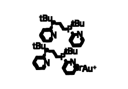 CC(C)(C)P(CCP(c1ccccn1)C(C)(C)C)c1ccccn1.CC(C)(C)P(CCP(c1ccccn1)C(C)(C)C)c1ccccn1.[Au+].[Br-]